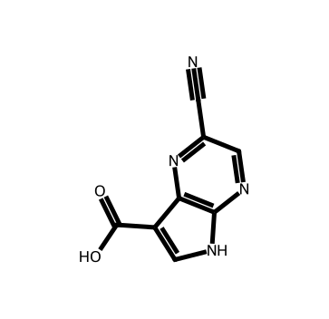 N#Cc1cnc2[nH]cc(C(=O)O)c2n1